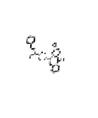 O=C(OCc1ccccc1)N1CCC(C2=Nc3ccccc3Nc3ccc(Cl)cc32)CC1